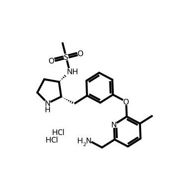 Cc1ccc(CN)nc1Oc1cccc(C[C@@H]2NCC[C@@H]2NS(C)(=O)=O)c1.Cl.Cl